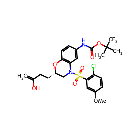 C=C(O)CC[C@H]1CN(S(=O)(=O)c2cc(OC)ccc2Cl)c2cc(NC(=O)OC(C)(C)C(F)(F)F)ccc2O1